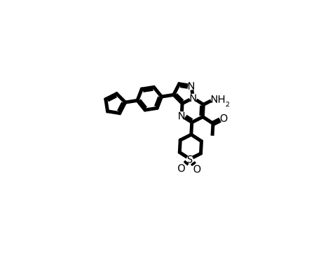 CC(=O)c1c(C2CCS(=O)(=O)CC2)nc2c(-c3ccc(C4=CCC=C4)cc3)cnn2c1N